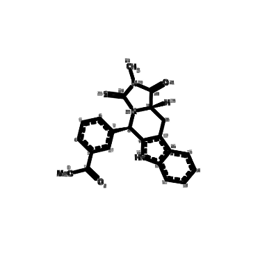 COC(=O)c1cccc([C@@H]2c3[nH]c4ccccc4c3C[C@H]3C(=O)N(C)C(=S)N23)c1